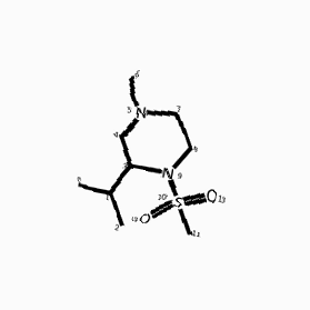 CC(C)C1CN(C)CCN1S(C)(=O)=O